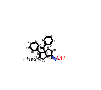 C=C(c1ccccc1)C12CC/C(=N\O)C1CC(CCCCCC)=C2c1ccccc1